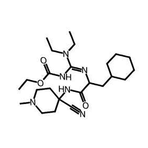 CCOC(=O)N/C(=N\C(CC1CCCCC1)C(=O)NC1(C#N)CCN(C)CC1)N(CC)CC